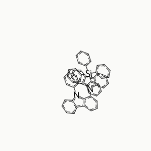 c1ccc([Si](c2ccccc2)(c2ccccc2)c2ccccc2-c2ccccc2-n2c3ccccc3c3cccc(-n4c5ccccc5c5ccccc54)c32)cc1